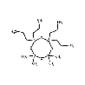 CCC[Si]1(CCC)O[Si](C)(C)O[Si](C)(C)O[Si](CCC)(CCC)O1